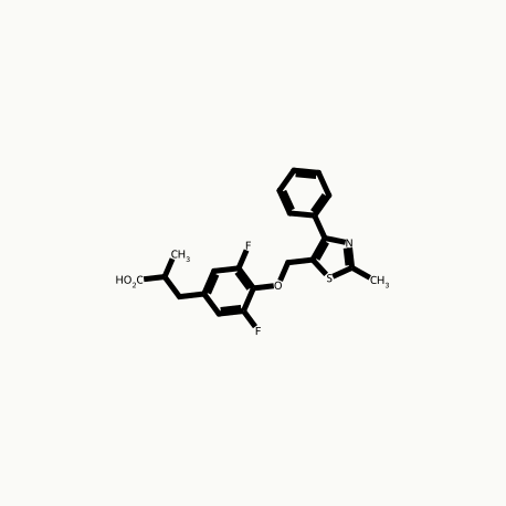 Cc1nc(-c2ccccc2)c(COc2c(F)cc(CC(C)C(=O)O)cc2F)s1